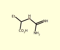 CCC(NC(=N)N)C(=O)O